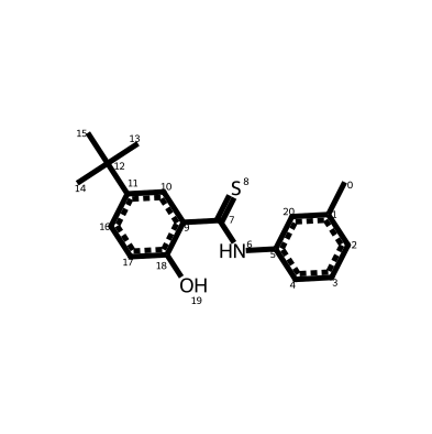 Cc1cccc(NC(=S)c2cc(C(C)(C)C)ccc2O)c1